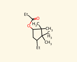 CCC(=O)OC1CC(CC)C(C)(C)C1(C)C